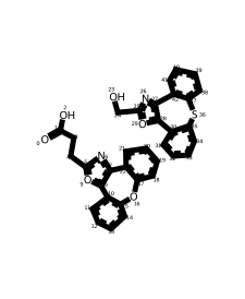 O=C(O)CCc1nc2c(o1)-c1ccccc1Oc1ccccc1-2.OCc1nc2c(o1)-c1ccccc1Sc1ccccc1-2